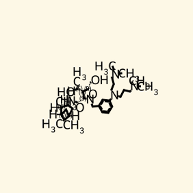 C[C@@H]1[C@@H](NC(=O)[C@@H]2[C@H]([C@H](C)O)[C@H](CO)ON2Cc2cccc(N(CCCN(C)C)CCCN(C)C)c2)C[C@H]2C[C@@H]1C2(C)C